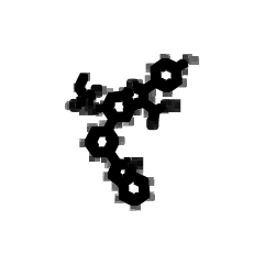 CCS(=O)(=O)Nc1cc2oc(-c3ccc(F)cc3)c(C(=O)O)c2cc1-c1cccc(-c2cc3ccccc3[nH]2)c1